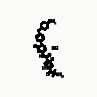 CC(C)(N)C(=O)N1C[C@@H]2C[C@H]1CN2C(=O)Nc1ccn(-c2ccc(CN3CCC(N)CC3)cc2)c(=O)n1.Cl